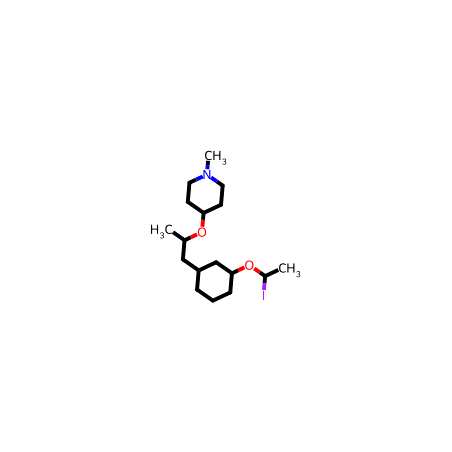 CC(I)OC1CCCC(CC(C)OC2CCN(C)CC2)C1